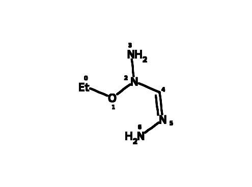 CCON(N)/C=N\N